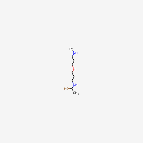 CCNCCCOCCCNC(C)S